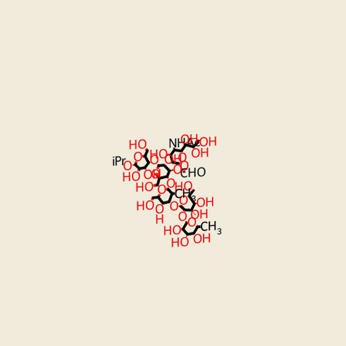 CC(=O)N[C@H]1C([C@H](O)[C@H](O)CO)O[C@](OC=O)(O[C@@H]2C(O)[C@H](O[C@@H]3C(CO)O[C@@H](OC(C)C)C(O)[C@H]3O)OC(CO)[C@@H]2O[C@H]2OC(CO)[C@H](O)[C@H](O[C@@H]3OC(CO)[C@H](O)[C@H](O)C3O[C@@H]3OC(C)[C@@H](O)[C@H](O)C3O)C2C)C[C@H]1O